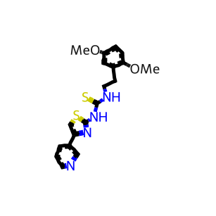 COc1ccc(OC)c(CCNC(=S)Nc2nc(-c3cccnc3)cs2)c1